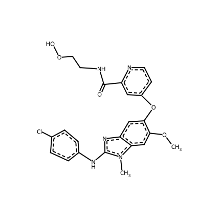 COc1cc2c(cc1Oc1ccnc(C(=O)NCCOO)c1)nc(Nc1ccc(Cl)cc1)n2C